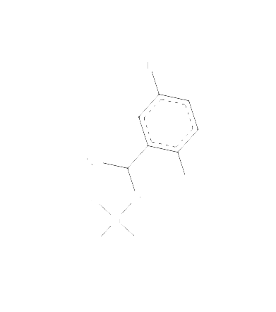 C[Si](C)(C)OC(C#N)c1cc(F)ccc1F